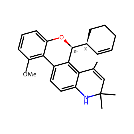 COc1cccc2c1-c1ccc3c(c1[C@H]([C@@H]1C=CCCC1)O2)C(C)=CC(C)(C)N3